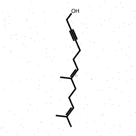 CC(C)=CCC/C(C)=C/CCC#CCO